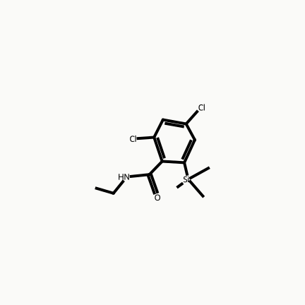 CCNC(=O)c1c(Cl)cc(Cl)cc1[Si](C)(C)C